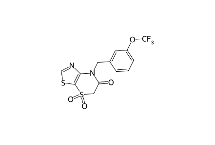 O=C1CS(=O)(=O)c2scnc2N1Cc1cccc(OC(F)(F)F)c1